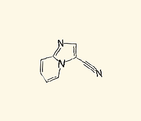 N#Cc1cnc2ccccn12